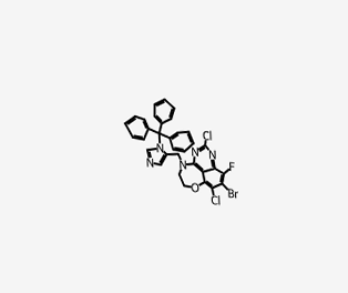 Fc1c(Br)c(Cl)c2c3c(nc(Cl)nc13)N(Cc1cncn1C(c1ccccc1)(c1ccccc1)c1ccccc1)CCO2